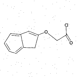 O=C(Cl)COC1=Cc2ccccc2C1